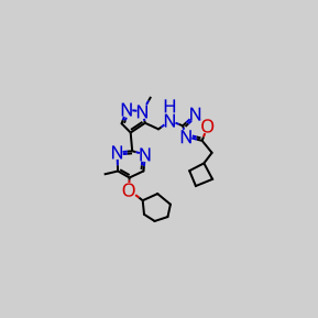 Cc1nc(-c2cnn(C)c2CNc2noc(CC3CCC3)n2)ncc1OC1CCCCC1